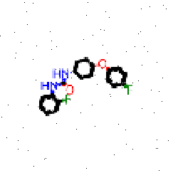 O=C(Nc1ccccc1F)N[C@H]1CC[C@@H](Oc2ccc(F)cc2)CC1